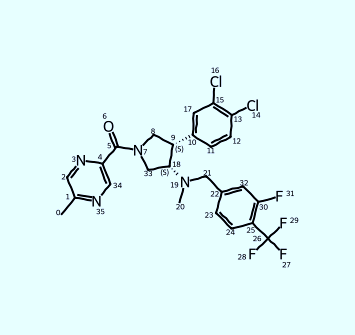 Cc1cnc(C(=O)N2C[C@H](c3ccc(Cl)c(Cl)c3)[C@H](N(C)Cc3ccc(C(F)(F)F)c(F)c3)C2)cn1